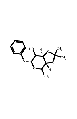 CC1O[C@H](Sc2ccccc2)C(O)[C@H]2OC(C)(C)O[C@H]12